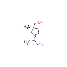 CC(C)N1CC[C@](C)(CO)C1